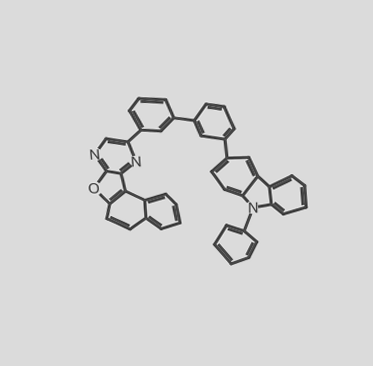 c1ccc(-n2c3ccccc3c3cc(-c4cccc(-c5cccc(-c6cnc7oc8ccc9ccccc9c8c7n6)c5)c4)ccc32)cc1